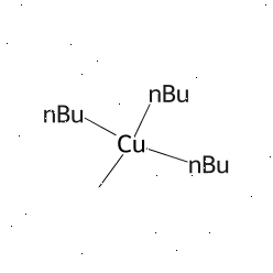 CCC[CH2][Cu]([CH3])([CH2]CCC)[CH2]CCC